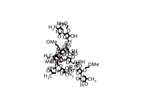 COCCO[C@H]1C(OP(=O)(O)OC[C@H]2OC(n3cc(C)c(=O)[nH]c3=O)[C@@H](OCCOC)C2OP(=O)(O)OC[C@H]2OC(n3cnc4c(N)ncnc43)[C@@H](OCCOC)C2OP(=O)(S)OC[C@H]2OC(n3cc(C)c(=O)[nH]c3=O)[C@@H](OCCOC)C2OP(=O)(S)OC[C@H]2O[C@@H](n3cc(C)c(N)nc3=O)[C@@H](OCCOC)C2O)[C@@H](C)OC1n1cc(C)c(=O)[nH]c1=O